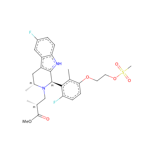 COC(=O)[C@H](C)CN1[C@H](c2c(F)ccc(OCCOS(C)(=O)=O)c2C)c2[nH]c3ccc(F)cc3c2C[C@H]1C